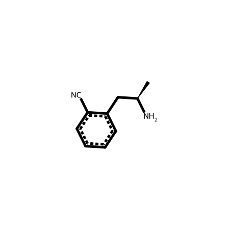 C[C@@H](N)Cc1ccccc1C#N